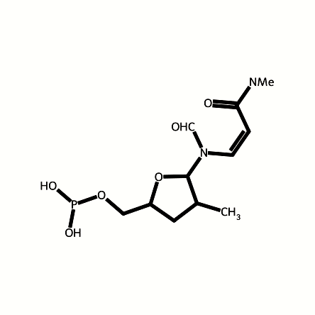 CNC(=O)/C=C\N(C=O)C1OC(COP(O)O)CC1C